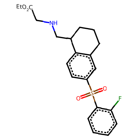 CCOC(=O)CNCC1CCCc2cc(S(=O)(=O)c3ccccc3F)ccc21